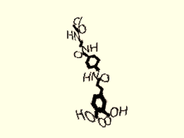 O=C(CCl)NCCNC(=O)C1CCC(CNC(=O)CCc2ccc(C(=O)O)c(C(=O)O)c2)CC1